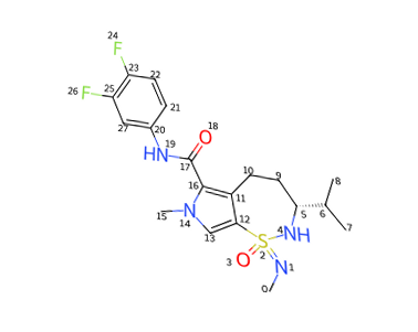 CN=S1(=O)N[C@@H](C(C)C)CCc2c1cn(C)c2C(=O)Nc1ccc(F)c(F)c1